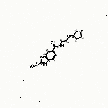 CCCCCCCCc1nc2ccc(C(=O)NCCOC3CCCC3)cc2s1